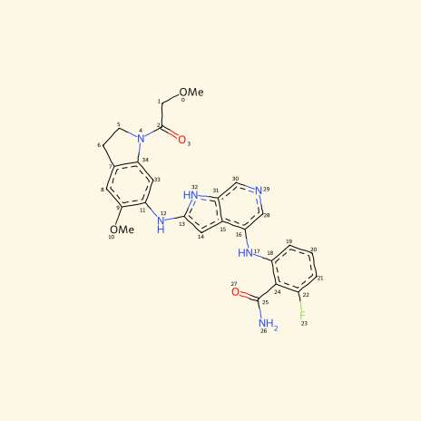 COCC(=O)N1CCc2cc(OC)c(Nc3cc4c(Nc5cccc(F)c5C(N)=O)cncc4[nH]3)cc21